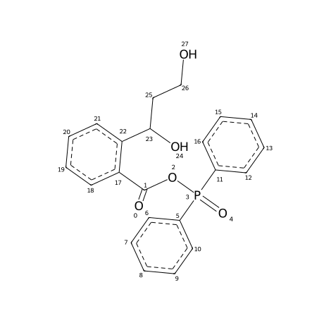 O=C(OP(=O)(c1ccccc1)c1ccccc1)c1ccccc1C(O)CCO